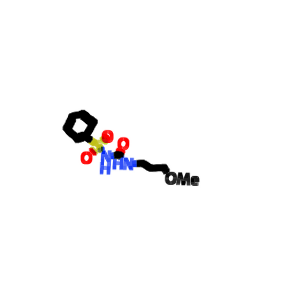 COCCCNC(=O)NS(=O)(=O)c1ccccc1